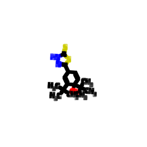 CC(C)(C)C1=CC(c2n[nH]c(=S)s2)C=CC1(O)C(C)(C)C